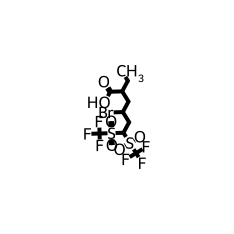 CCC(CC(Br)CC(S(=O)(=O)C(F)(F)F)S(=O)(=O)C(F)(F)F)C(=O)O